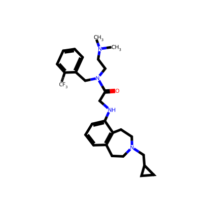 CN(C)CCN(Cc1ccccc1C(F)(F)F)C(=O)CNc1cccc2c1CCN(CC1CC1)CC2